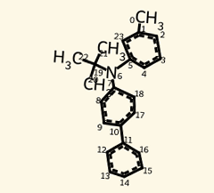 Cc1cccc(N(c2ccc(-c3ccccc3)cc2)C(C)(C)C)c1